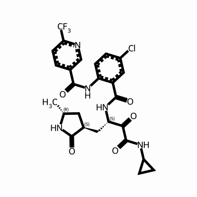 C[C@@H]1C[C@@H](C[C@H](NC(=O)c2cc(Cl)ccc2NC(=O)c2ccc(C(F)(F)F)nc2)C(=O)C(=O)NC2CC2)C(=O)N1